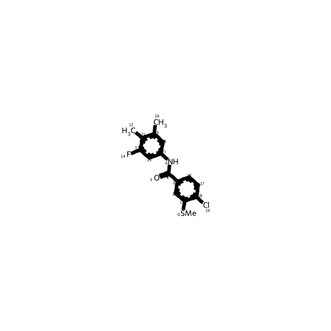 CSc1cc(C(=O)Nc2cc(C)c(C)c(F)c2)ccc1Cl